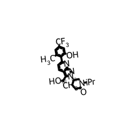 Cc1cc(C(F)(F)F)cc(O)c1-c1ccc2c([C@@H](C)O)n([C@H]3CCC(=O)N(C(C)C)C3)nc2n1